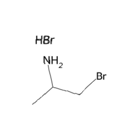 Br.CC(N)CBr